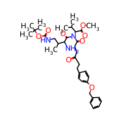 COC(=O)C(C(C)C)N(C(=O)CCC(=O)CCc1ccc(OCc2ccccc2)cc1)C(=O)C(N)C(C)CNC(=O)OC(C)(C)C